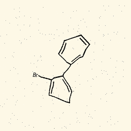 BrC1=CC[C]=C1c1ccccc1